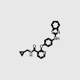 O=C(NCC1CC1)c1cccnc1Oc1ccc(Nc2nc3ccccc3s2)cc1